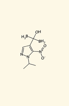 BC(B)(O)c1cnn(C(C)C)c1[N+](=O)[O-]